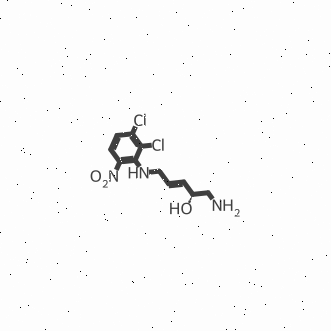 NC[C@H](O)/C=C/CNc1c([N+](=O)[O-])ccc(Cl)c1Cl